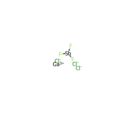 [Cl-].[Cl-].[Cl-].[F][Sb]([F])[F].[Ga+3]